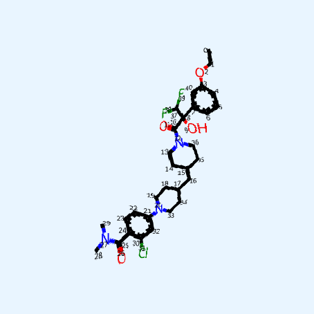 CCOc1cccc(C(O)(C(=O)N2CCC(CC3CCN(c4ccc(C(=O)N(C)C)c(Cl)c4)CC3)CC2)C(F)F)c1